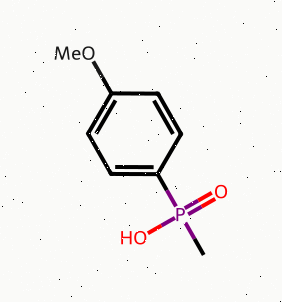 COc1ccc(P(C)(=O)O)cc1